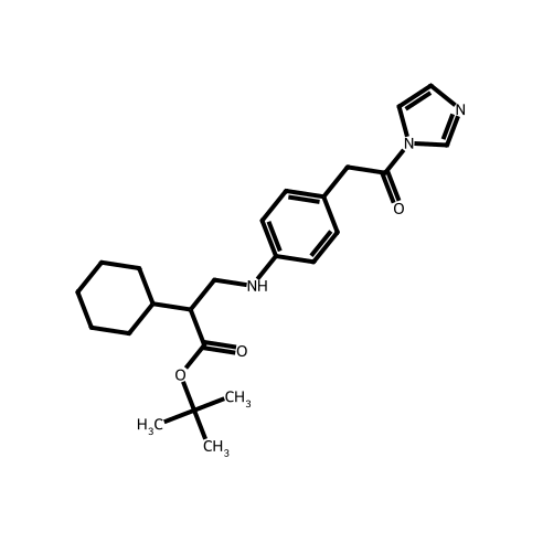 CC(C)(C)OC(=O)C(CNc1ccc(CC(=O)n2ccnc2)cc1)C1CCCCC1